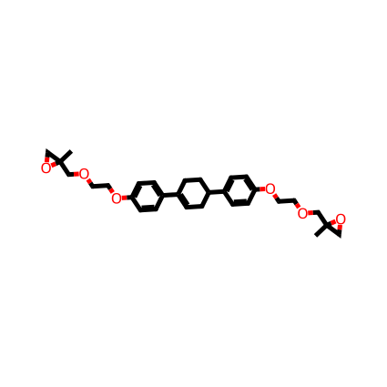 CC1(COCCOc2ccc(C3=CCC(c4ccc(OCCOCC5(C)CO5)cc4)CC3)cc2)CO1